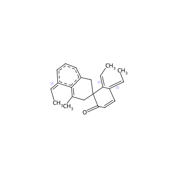 C/C=C1/C=CC(=O)C2(CC(C)=c3c(ccc/c3=C/C)C2)/C1=C/C